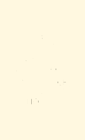 O[CH]c1cccc(C2CC2)c1OC(F)(F)F